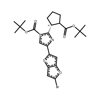 CC(C)(C)OC(=O)C1CCC[C@H]1c1nc(-c2cc3oc(Br)cc3s2)cn1C(=O)OC(C)(C)C